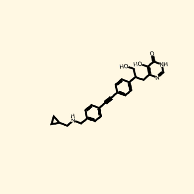 O=c1[nH]cnc(CC(CO)c2ccc(C#Cc3ccc(CNCC4CC4)cc3)cc2)c1O